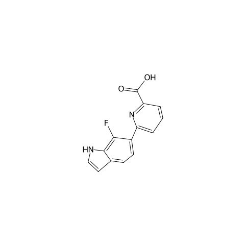 O=C(O)c1cccc(-c2ccc3cc[nH]c3c2F)n1